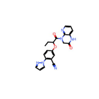 CCC(Oc1ccc(-n2cccn2)c(C#N)c1)C(=O)N1CC(=O)Nc2cccnc21